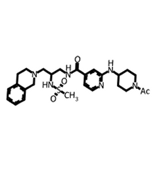 CC(=O)N1CCC(Nc2cc(C(=O)NCC(CN3CCc4ccccc4C3)NS(C)(=O)=O)ccn2)CC1